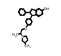 CC1CCN(C(C)COc2ccc(C3c4ccc(O)cc4CC3c3ccccc3)cc2)C1